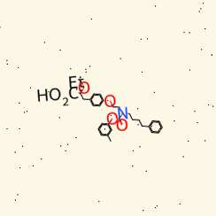 CCOC(Cc1ccc(OCCN(CCCCc2ccccc2)C(=O)Oc2cccc(C)c2)cc1)C(=O)O